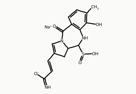 Cc1ccc2c(c1O)NC(S(=O)O)C1CC(/C=C/C(=N)[O-])=CN1C2=O.[Na+]